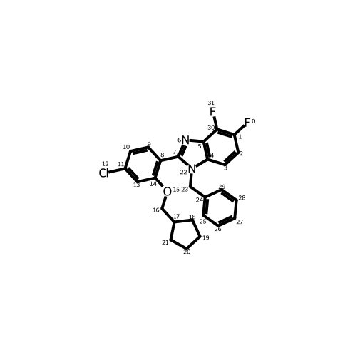 Fc1ccc2c(nc(-c3ccc(Cl)cc3OCC3CCCC3)n2Cc2ccccc2)c1F